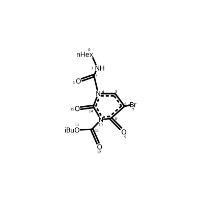 CCCCCCNC(=O)n1cc(Br)c(=O)n(C(=O)OCC(C)C)c1=O